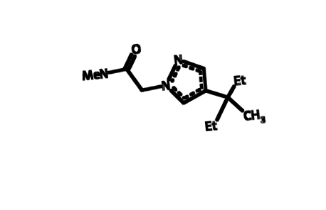 CCC(C)(CC)c1cnn(CC(=O)NC)c1